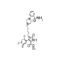 COOC(=O)c1[nH]c(=O)n(CCCCCN2CCN(c3ccccc3C(N)=O)CC2)c1-c1cc(F)c(F)cc1F